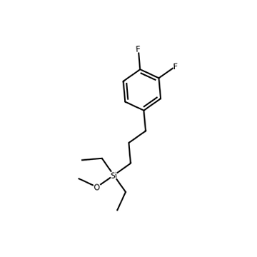 CC[Si](CC)(CCCc1ccc(F)c(F)c1)OC